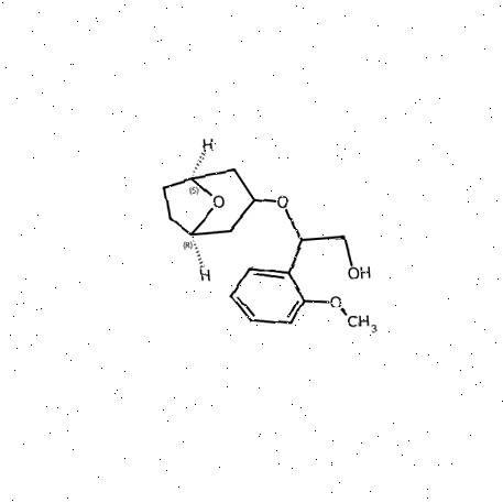 COc1ccccc1C(CO)OC1C[C@H]2CC[C@@H](C1)O2